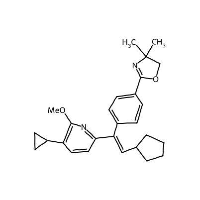 COc1nc(C(=CC2CCCC2)c2ccc(C3=NC(C)(C)CO3)cc2)ccc1C1CC1